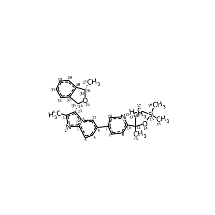 Cc1nc2ccc(-c3ccc(C(C)(C)O[Si](C)(C)C)nc3)cn2c1[C@H]1O[C@@H](C)c2ccccc21